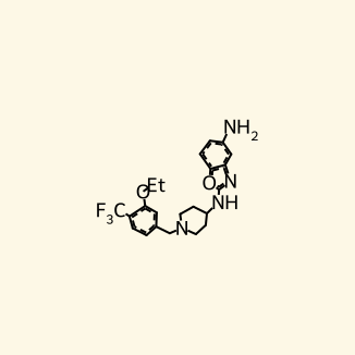 CCOc1cc(CN2CCC(Nc3nc4cc(N)ccc4o3)CC2)ccc1C(F)(F)F